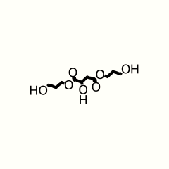 O=C(CC(O)C(=O)OCCCO)OCCCO